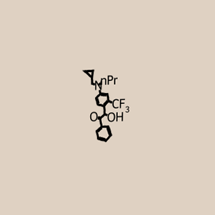 CCCN(CC1CC1)c1ccc(C(O)C(=O)c2ccccc2)c(C(F)(F)F)c1